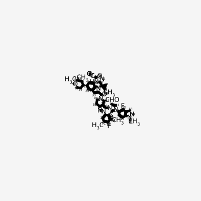 Cc1cc(-n2nc3c(c2N2C=CN(c4ccc5c(cnn5C)c4F)C2=C=O)[C@H](C=O)N(C(=O)c2cc4cc([C@H]5CCOC(C)(C)C5)ccc4n2[C@@]2(C4=NOC(=C=O)N4)C[C@@H]2C)CC3)cc(C)c1F